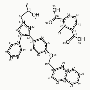 CC(O)Cn1cc(-c2ccncc2)c(-c2ccc(OCc3ccc4ccccc4n3)cc2)n1.Cc1c(C(=O)O)cccc1C(=O)O